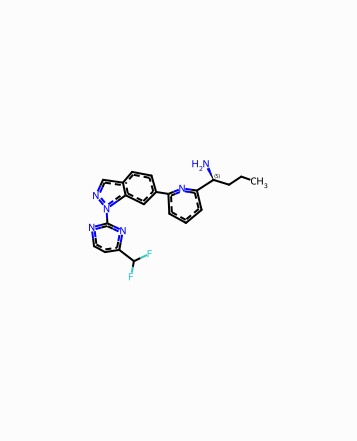 CCC[C@H](N)c1cccc(-c2ccc3cnn(-c4nccc(C(F)F)n4)c3c2)n1